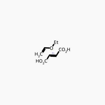 C=COCC.O=C(O)/C=C/C(=O)O